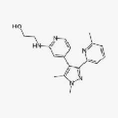 Cc1cccc(-c2nn(C)c(C)c2-c2ccnc(NCCO)c2)n1